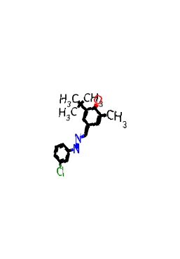 CC1=CC(=CN=Nc2cccc(Cl)c2)C=C(C(C)(C)C)C1=O